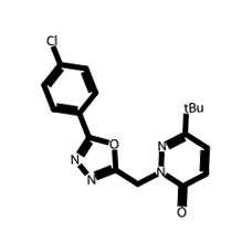 CC(C)(C)c1ccc(=O)n(Cc2nnc(-c3ccc(Cl)cc3)o2)n1